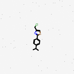 CC(C)c1ccc(-c2nc(CCl)cs2)cc1